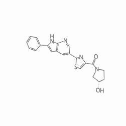 O=C(c1csc(-c2cnc3[nH]c(-c4ccccc4)cc3c2)n1)N1CC[C@H](O)C1